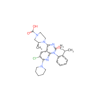 CC(C)c1ccccc1-n1c(=O)nc(N2CCN(C(=O)O)C[C@@H]2C)c2cc(Cl)c(N3CCCCC3)nc21